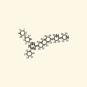 c1ccc(-c2ccc(-c3nc(-c4ccccc4)nc(-c4ccc5cc6cc(-c7ccc(-c8ccncc8)nc7)ccc6cc5c4)n3)cc2)cc1